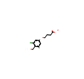 COC(=O)CCCOc1cc(Cl)c(CO)c(Cl)c1